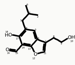 CC(C)Cc1cc2c(CCO)coc2c(C=O)c1O